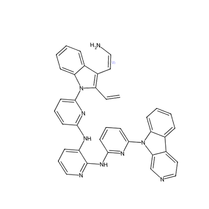 C=Cc1c(/C=C\N)c2ccccc2n1-c1cccc(Nc2cccnc2Nc2cccc(-n3c4ccccc4c4ccncc43)n2)n1